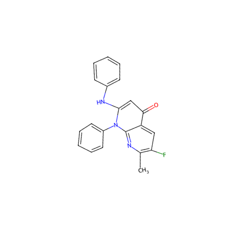 Cc1nc2c(cc1F)c(=O)cc(Nc1ccccc1)n2-c1ccccc1